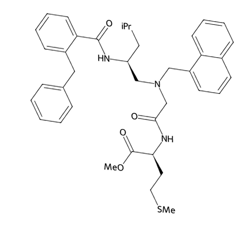 COC(=O)[C@H](CCSC)NC(=O)CN(Cc1cccc2ccccc12)C[C@H](CC(C)C)NC(=O)c1ccccc1Cc1ccccc1